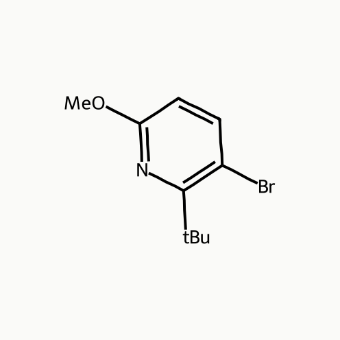 COc1ccc(Br)c(C(C)(C)C)n1